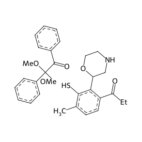 CCC(=O)c1ccc(C)c(S)c1C1CNCCO1.COC(OC)(C(=O)c1ccccc1)c1ccccc1